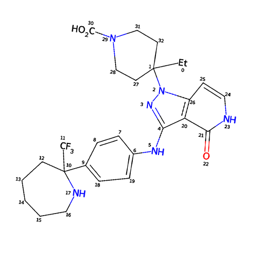 CCC1(n2nc(Nc3ccc(C4(C(F)(F)F)CCCCCN4)cc3)c3c(=O)[nH]ccc32)CCN(C(=O)O)CC1